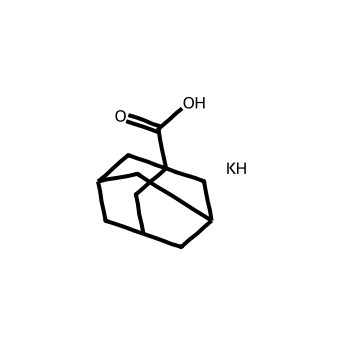 O=C(O)C12CC3CC(CC(C3)C1)C2.[KH]